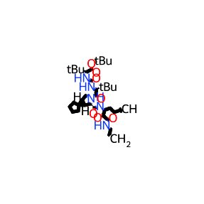 C#CCCC(NC(=O)[C@@H]1[C@@H]2[C@H](CN1C(=O)[C@@H](NC(=O)N[C@H](C(=O)OC(C)(C)C)C(C)(C)C)C(C)(C)C)C21CCCC1)C(=O)C(=O)NCC=C